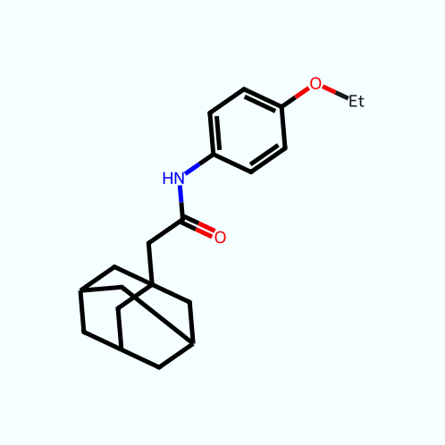 CCOc1ccc(NC(=O)CC23CC4CC(CC(C4)C2)C3)cc1